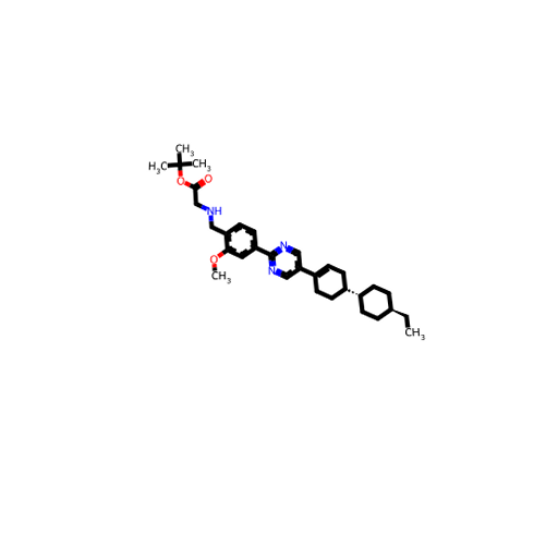 CC[C@H]1CC[C@H](C2CC=C(c3cnc(-c4ccc(CNCC(=O)OC(C)(C)C)c(OC)c4)nc3)CC2)CC1